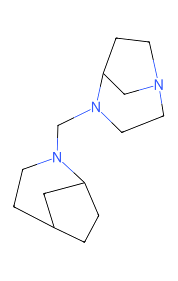 C1CC2CC1CCN2CN1CCN2CCC1C2